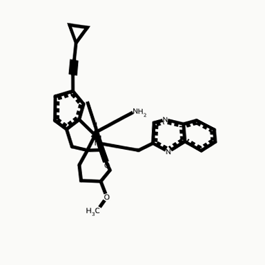 COC1CCC2(CC1)Cc1ccc(C#CC3CC3)cc1C21N=C(N)N(Cc2cnc3ccccc3n2)C1=O